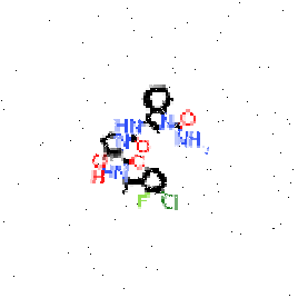 C[C@@H](NC(=O)[C@@H]1[C@H](O)CCN1C(=O)Nc1cn(C(N)=O)c2ccccc12)c1cccc(Cl)c1F